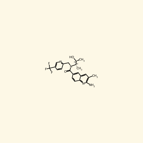 Cc1cc2cc(C(=O)N(Cc3ccc(C(F)(F)F)cn3)[C@@H](C)[C@H](C)O)ccc2nc1N